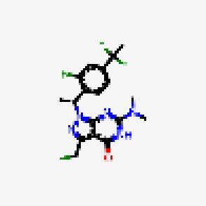 C[C@@H](c1ccc(C(C)(F)F)cc1F)n1nc(CF)c2c(=O)[nH]c(N(C)C)nc21